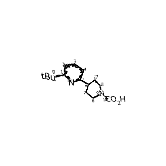 CC(C)(C)c1cccc(C2CCN(C(=O)O)CC2)n1